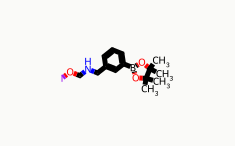 CC1(C)OB(c2cccc(CNCOI)c2)OC1(C)C